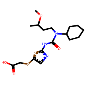 COC(C)CCN(C(=O)Nc1ncc(SCC(=O)O)s1)C1CCCCC1